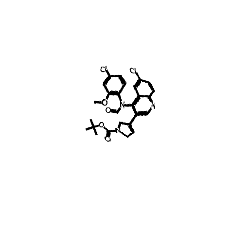 COc1cc(Cl)ccc1N(C=O)c1c(C2=CCN(C(=O)OC(C)(C)C)C2)cnc2ccc(Cl)cc12